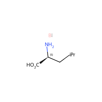 CC(C)C[C@H](N)C(=O)O.[B]